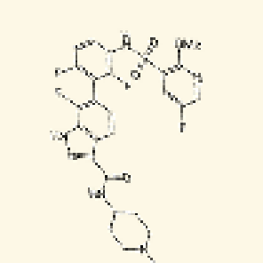 COc1ncc(F)cc1S(=O)(=O)Nc1ccc(F)c(-c2ccc3c(C(=O)NC4CCN(C)CC4)n[nH]c3c2F)c1F